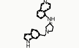 c1cc(N[C@@H]2CCN(Cc3ccc4cc[nH]c4c3)C2)c2ccncc2c1